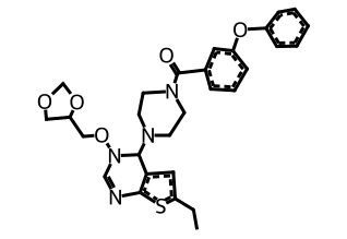 CCc1cc2c(s1)N=CN(OCC1COCO1)C2N1CCN(C(=O)c2cccc(Oc3ccccc3)c2)CC1